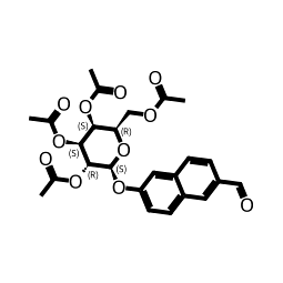 CC(=O)OC[C@H]1O[C@@H](Oc2ccc3cc(C=O)ccc3c2)[C@H](OC(C)=O)[C@@H](OC(C)=O)[C@H]1OC(C)=O